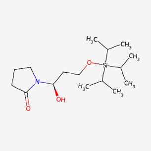 CC(C)[Si](OCC[C@@H](O)N1CCCC1=O)(C(C)C)C(C)C